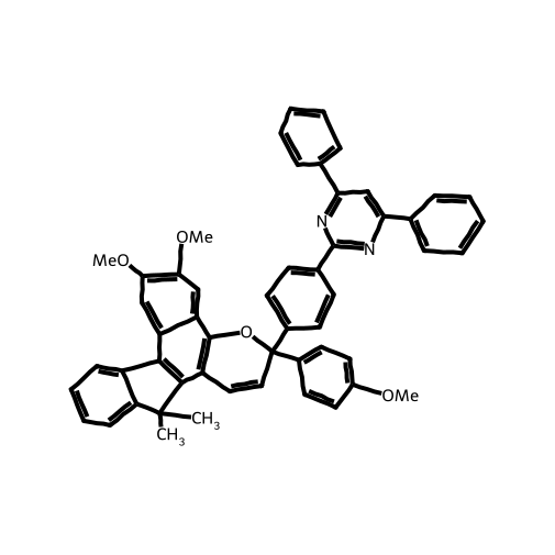 COc1ccc(C2(c3ccc(-c4nc(-c5ccccc5)cc(-c5ccccc5)n4)cc3)C=Cc3c4c(c5cc(OC)c(OC)cc5c3O2)-c2ccccc2C4(C)C)cc1